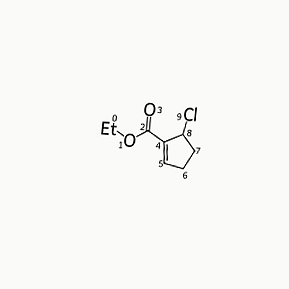 CCOC(=O)C1=CCCC1Cl